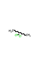 CCCCCCCCCC.ClCCl